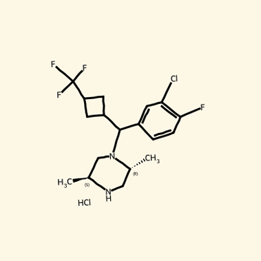 C[C@@H]1CN[C@@H](C)CN1C(c1ccc(F)c(Cl)c1)C1CC(C(F)(F)F)C1.Cl